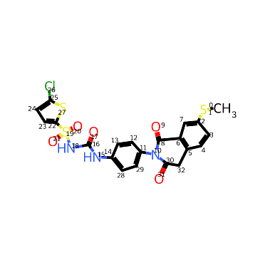 CSc1ccc2c(c1)C(=O)N(c1ccc(NC(=O)NS(=O)(=O)c3ccc(Cl)s3)cc1)C(=O)C2